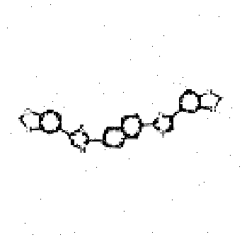 c1cc2c(cc1-c1cnc(-c3ccc4cc(-c5ncc(-c6ccc7c(c6)OCO7)s5)ccc4c3)s1)OCO2